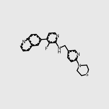 Fc1c(-c2ccc3ncccc3c2)ccnc1NCc1ccc(N2CCSCC2)nc1